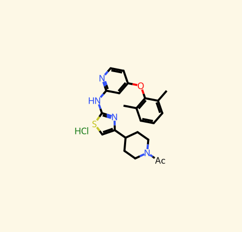 CC(=O)N1CCC(c2csc(Nc3cc(Oc4c(C)cccc4C)ccn3)n2)CC1.Cl